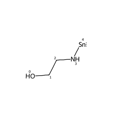 OCC[NH][Sn]